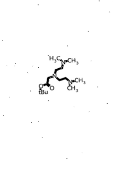 CN(C)CCN(CCN(C)C)CC(=O)OC(C)(C)C